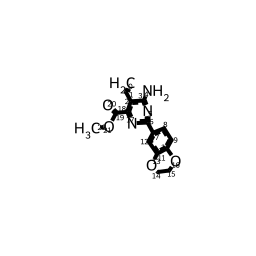 C=Cc1c(N)nc(-c2ccc3c(c2)OCCO3)nc1C(=O)OC